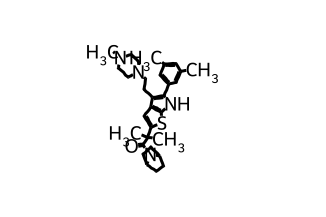 Cc1cc(C)cc(-c2[nH]c3sc(C(C)(C)C(=O)N4C5CCC4CC5)cc3c2CCN2CCN(C)CC2)c1